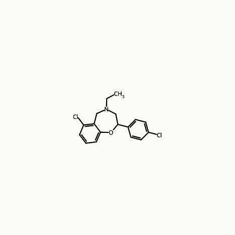 CCN1Cc2c(Cl)cccc2OC(c2ccc(Cl)cc2)C1